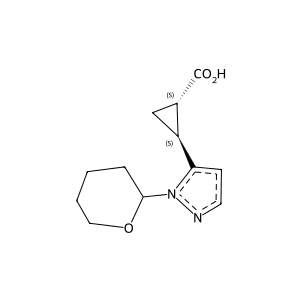 O=C(O)[C@H]1C[C@@H]1c1ccnn1C1CCCCO1